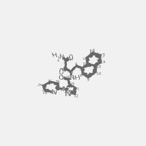 NC(=O)C(=O)C(Cc1cccc2ccccc12)NC(=O)c1ccnn1-c1ccccn1